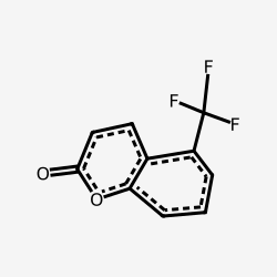 O=c1ccc2c(C(F)(F)F)cccc2o1